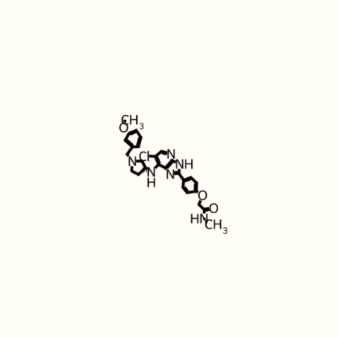 CNC(=O)COc1ccc(-c2nc3c(N[C@H]4CCN(Cc5cccc(OC)c5)C4)c(Cl)cnc3[nH]2)cc1